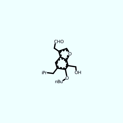 CCCCOc1c(CC(C)C)cc2c(CC=O)coc2c1CO